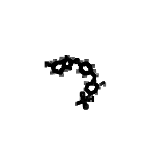 C[C@@H]1C[C@H](NS(C)(=O)=O)CCN1Cc1ccc(Oc2nc3cc(F)ccc3s2)cc1